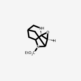 CCOC(=O)N1C2CC3CN[C@@]4(O[C@@H]24)C1C3